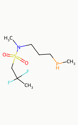 CPCCCN(C)S(=O)(=O)CC(C)(F)F